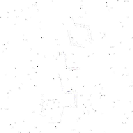 O=C(Cn1nc(C(F)(F)F)c2c1CCCC2)Nc1cccc(Cl)c1